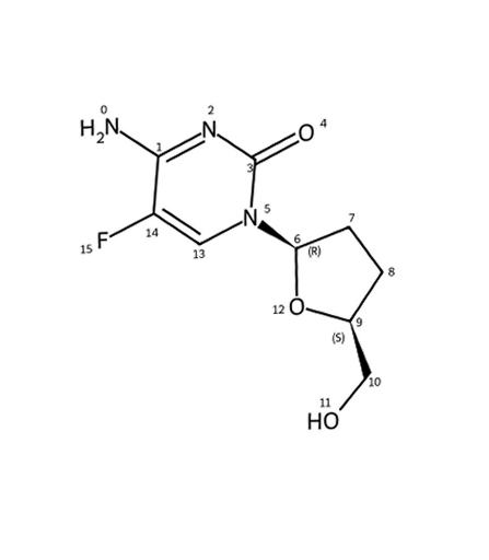 Nc1nc(=O)n([C@H]2CC[C@@H](CO)O2)cc1F